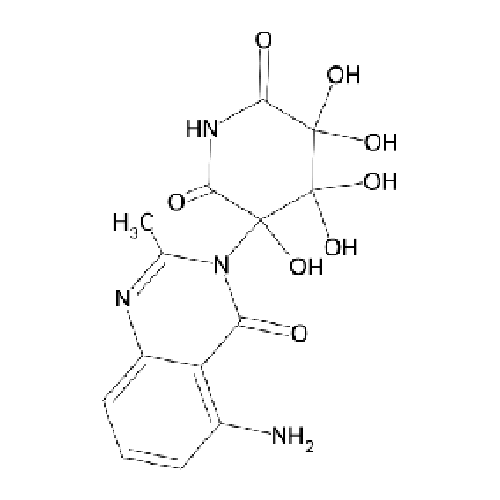 Cc1nc2cccc(N)c2c(=O)n1C1(O)C(=O)NC(=O)C(O)(O)C1(O)O